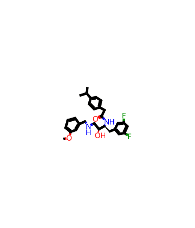 COc1cccc(CNC[C@H](O)[C@H](Cc2cc(F)cc(F)c2)NC(=O)Cc2ccc(C(C)C)cc2)c1